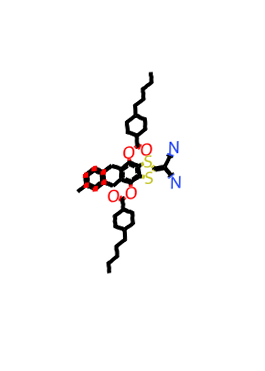 CCCCCC1CCC(C(=O)Oc2c3c(c(OC(=O)C4CCC(CCCCC)CC4)c4c2C2c5ccccc5C4c4cc(C)ccc42)SC(=C(C#N)C#N)S3)CC1